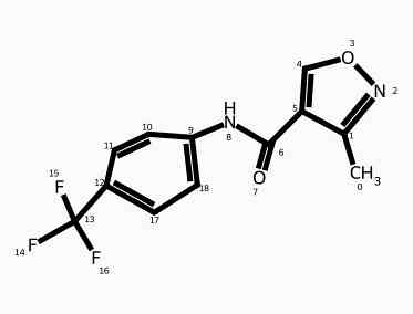 Cc1nocc1C(=O)Nc1ccc(C(F)(F)F)cc1